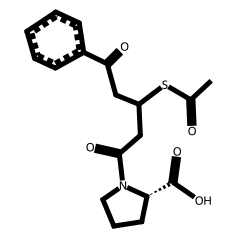 CC(=O)SC(CC(=O)c1ccccc1)CC(=O)N1CCC[C@H]1C(=O)O